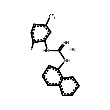 Cl.N=C(Nc1cc(C(F)(F)F)ccc1F)Nc1cccc2ccccc12